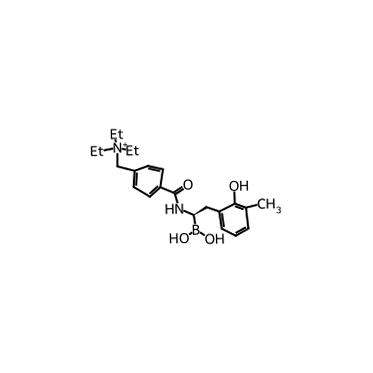 CC[N+](CC)(CC)Cc1ccc(C(=O)N[C@@H](Cc2cccc(C)c2O)B(O)O)cc1